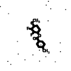 COC1CCC(OC(=O)C2CCC(C)CC2)C(F)C1F